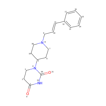 O=C1CCN(C2CCN(CC=Cc3ccccc3)CC2)C(=O)N1